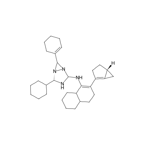 C1=C(C2N3C(NC4=C(C5=C6C[C@H]6CC5)CCC5CCCCC45)NC(C4CCCCC4)[N@]23)CCCC1